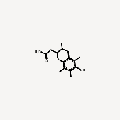 Cc1c(C)c2c(c(C)c1O)CC(C)C(SC(N)=O)O2